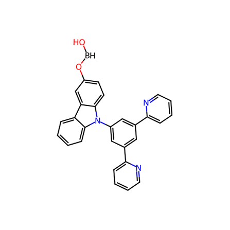 OBOc1ccc2c(c1)c1ccccc1n2-c1cc(-c2ccccn2)cc(-c2ccccn2)c1